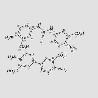 Nc1ccc(-c2ccc(N)c(C(=O)O)c2)cc1C(=O)O.Nc1ccc(NC(=O)Nc2ccc(N)c(C(=O)O)c2)cc1C(=O)O